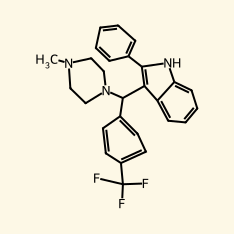 CN1CCN(C(c2ccc(C(F)(F)F)cc2)c2c(-c3ccccc3)[nH]c3ccccc23)CC1